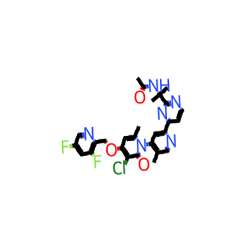 CC(=O)NC(C)(C)c1nccc(-c2cc(-n3c(C)cc(OCc4ncc(F)cc4F)c(Cl)c3=O)c(C)cn2)n1